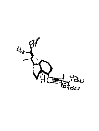 C[C@@H](C=C(Br)Br)[C@H]1CC[C@H]2[C@@H](O[Si](C)(C(C(C)(C)C)C(C)(C)C)C(C)(C)C)CCC[C@]12C